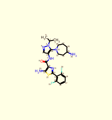 CC(C)n1ncc(NC(=O)c2nc(-c3c(F)cccc3F)sc2N)c1N1CCCC(N)CC1